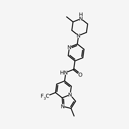 Cc1cn2cc(NC(=O)c3ccc(N4CCNC(C)C4)nc3)cc(C(F)(F)F)c2n1